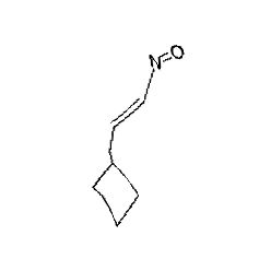 O=N/C=C/C1CCC1